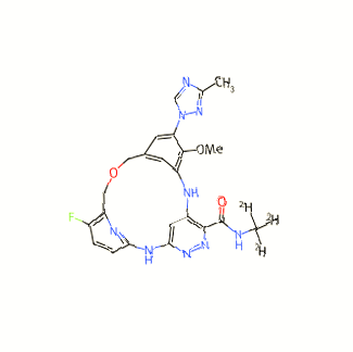 [2H]C([2H])([2H])NC(=O)c1nnc2cc1Nc1cc(cc(-n3cnc(C)n3)c1OC)COCc1nc(ccc1F)N2